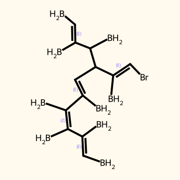 B/C=C(B)/C(B)=C(B)\C(B)=C\C(/C(B)=C/Br)C(B)/C(B)=C/B